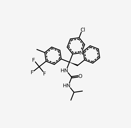 Cc1ccc([C@@](Cc2ccccc2)(NC(=O)NC(C)C)c2ccc(Cl)cn2)cc1C(F)(F)F